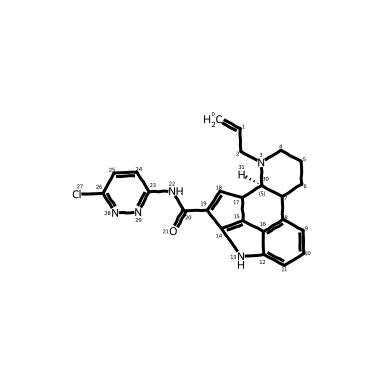 C=CCN1CCCC2c3cccc4[nH]c5c(c34)C(C=C5C(=O)Nc3ccc(Cl)nn3)[C@H]21